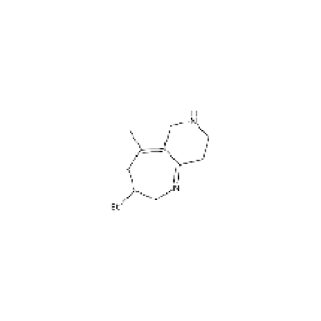 CCC1CN=C2CCNCC2=C(C)C1